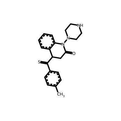 Cc1ccc(C(=S)C2CC(=O)N(N3CCNCC3)c3ccccc32)cc1